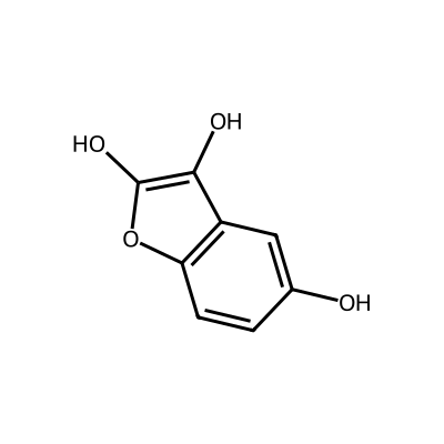 Oc1ccc2oc(O)c(O)c2c1